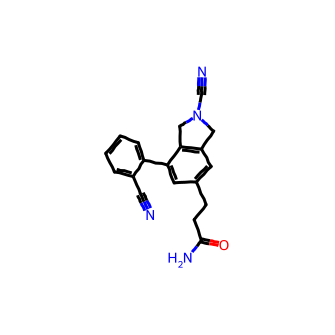 N#Cc1ccccc1-c1cc(CCC(N)=O)cc2c1CN(C#N)C2